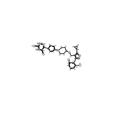 O=c1[nH]nc(-c2ccc(N3CCC(OCc4c(-c5c(Cl)cccc5Cl)noc4C4CC4)CC3)cc2)c(=O)[nH]1